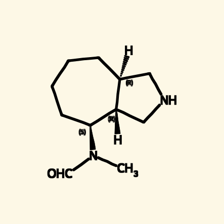 CN(C=O)[C@H]1CCCC[C@H]2CNC[C@@H]21